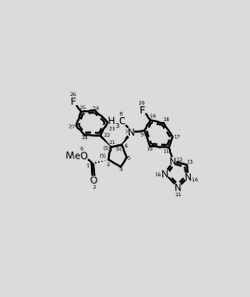 COC(=O)[C@H]1CC[C@H](N(C)c2cc(-n3cnnn3)ccc2F)[C@@H]1c1ccc(F)cc1